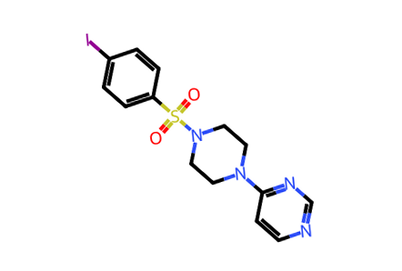 O=S(=O)(c1ccc(I)cc1)N1CCN(c2ccncn2)CC1